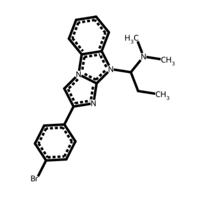 CCC(N(C)C)n1c2ccccc2n2cc(-c3ccc(Br)cc3)nc12